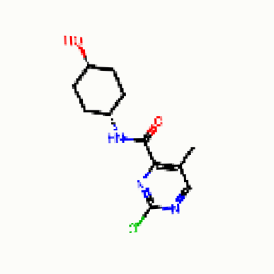 Cc1cnc(Cl)nc1C(=O)N[C@H]1CC[C@H](O)CC1